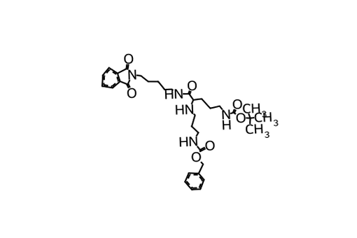 CC(C)(C)OC(=O)NCCCC(NCCCNC(=O)OCc1ccccc1)C(=O)NCCCCCN1C(=O)c2ccccc2C1=O